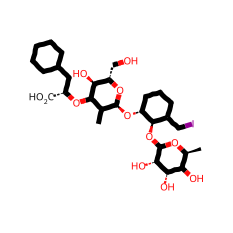 CC1C(O[C@@H](CC2CCCCC2)C(=O)O)[C@@H](O)[C@H](CO)O[C@H]1O[C@@H]1CCCC(CI)[C@H]1OC1O[C@@H](C)C(O)[C@H](O)[C@@H]1O